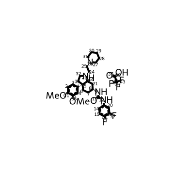 COc1ccc([C@@]23CC[C@@H](NC(=O)Nc4ccc(F)c(F)c4)C[C@@H]2N(CCN2CCCCC2)CC3)cc1OC.O=C(O)C(F)(F)F